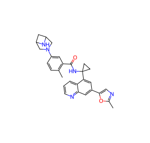 Cc1ncc(-c2cc(C3(NC(=O)c4cc(N5CC6CC(C5)N6)ccc4C)CC3)c3cccnc3c2)o1